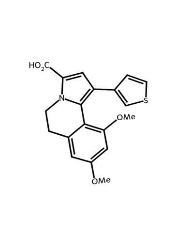 COc1cc2c(c(OC)c1)-c1c(-c3ccsc3)cc(C(=O)O)n1CC2